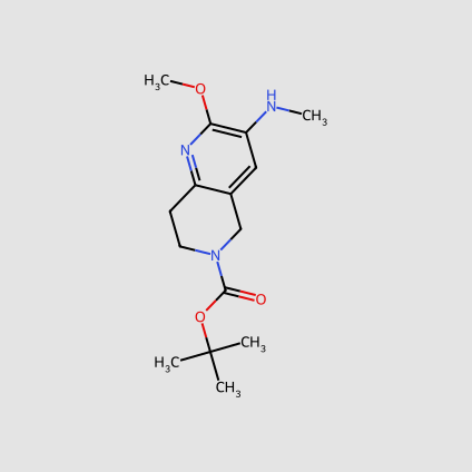 CNc1cc2c(nc1OC)CCN(C(=O)OC(C)(C)C)C2